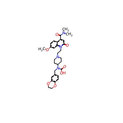 COc1ccc2c(C(=O)N(C)C)cc(=O)n(CCN3CCC(N(Cc4ccc5c(c4)OCCO5)C(=O)O)CC3)c2c1